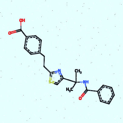 CC(C)(NC(=O)c1ccccc1)c1csc(CCc2ccc(C(=O)O)cc2)n1